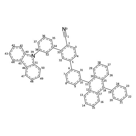 N#Cc1ccc(-c2cccc(-c3c4ccccc4c(-c4ccccc4)c4ccccc34)c2)cc1-c1cccc(-n2c3ccccc3c3ccccc32)c1